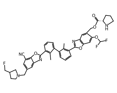 Cc1c(-c2nc3cc(COC(=O)[C@@H]4CCCN4)c(OC(F)F)cc3o2)cccc1-c1cccc(-c2nc3cc(CN4CCC(CF)C4)cc(C#N)c3o2)c1C